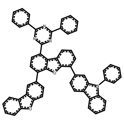 c1ccc(-c2nc(-c3ccccc3)nc(-c3ccc(-c4ccc5oc6ccccc6c5c4)c4oc5c(-c6ccc7c8ccccc8n(-c8ccccc8)c7c6)cccc5c34)n2)cc1